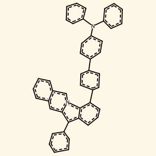 c1ccc(-c2c3cccc(-c4ccc(-c5ccc(N(c6ccccc6)c6ccccc6)cc5)cc4)c3n3cc4ccccc4cc23)cc1